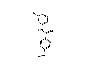 CCOc1ccc(C(=N)Nc2cccc(Cl)c2)nc1